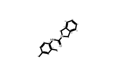 Cc1ccc(NC(=O)N2Cc3ccccc3C2)c(C)c1